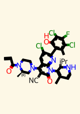 C=CC(=O)N1CCN(c2c(C#N)c(=O)n(C3=C(C)C=CNC3C(C)C)c3nc(-c4c(C)c(Cl)c(F)c(Cl)c4O)c(Cl)cc23)C[C@H]1C